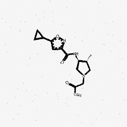 COC(=O)CN1C[C@@H](C)[C@H](NC(=O)c2cc(C3CC3)on2)C1